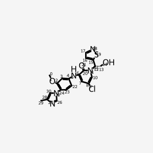 COc1cc(Nc2cc(Cl)cn([C@@H](CO)c3ccns3)c2=O)ccc1-n1cnc(C)c1